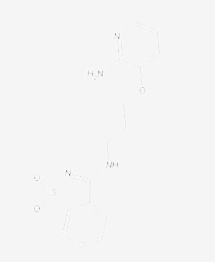 Nc1ncccc1OCCCNC1=NS(=O)(=O)c2ccccc21